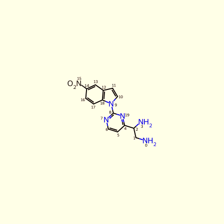 NCC(N)c1ccnc(-n2ccc3cc([N+](=O)[O-])ccc32)n1